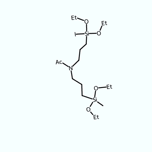 CCO[Si](C)(CCCN(CCC[Si](I)(OCC)OCC)C(C)=O)OCC